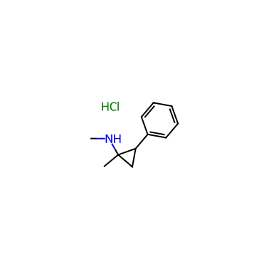 CNC1(C)CC1c1ccccc1.Cl